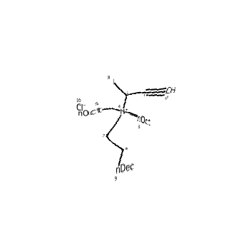 C#CC(I)[N+](CCCCCCCC)(CCCCCCCC)CCCCCCCCCCCC.[Cl-]